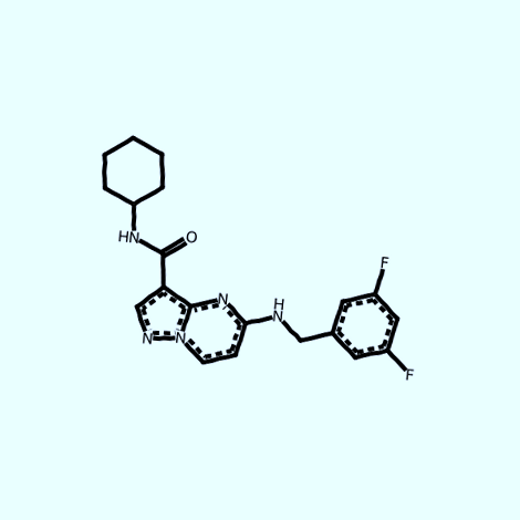 O=C(NC1CCCCC1)c1cnn2ccc(NCc3cc(F)cc(F)c3)nc12